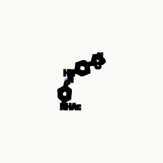 CC(=O)Nc1ccc(/C=N/Nc2ccc(-c3cnco3)cc2)cc1